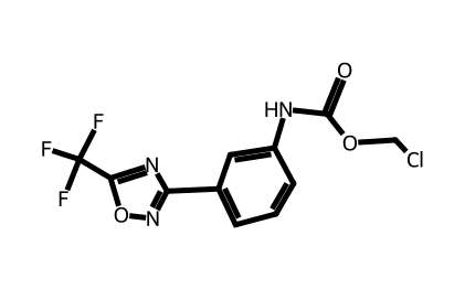 O=C(Nc1cccc(-c2noc(C(F)(F)F)n2)c1)OCCl